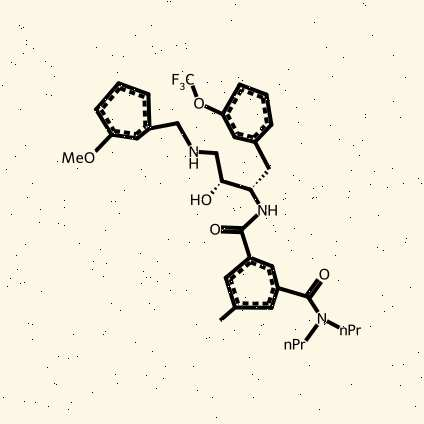 CCCN(CCC)C(=O)c1cc(C)cc(C(=O)N[C@@H](Cc2cccc(OC(F)(F)F)c2)[C@H](O)CNCc2cccc(OC)c2)c1